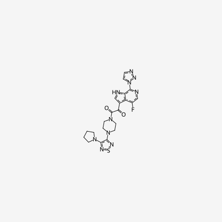 O=C(C(=O)N1CCN(c2nsnc2N2CCCC2)CC1)c1c[nH]c2c(-n3ccnn3)ncc(F)c12